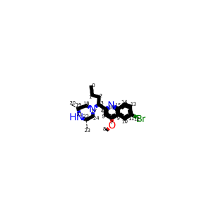 CCCC(c1cc(OC)c2cc(Br)ccc2n1)N1C[C@@H](C)N[C@@H](C)C1